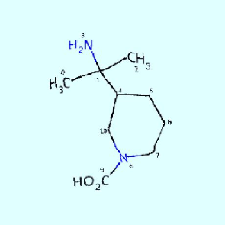 CC(C)(N)C1CCCN(C(=O)O)C1